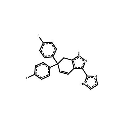 Fc1ccc(C2(c3ccc(F)cc3)C=Cc3c(-c4ncc[nH]4)n[nH]c3C2)cc1